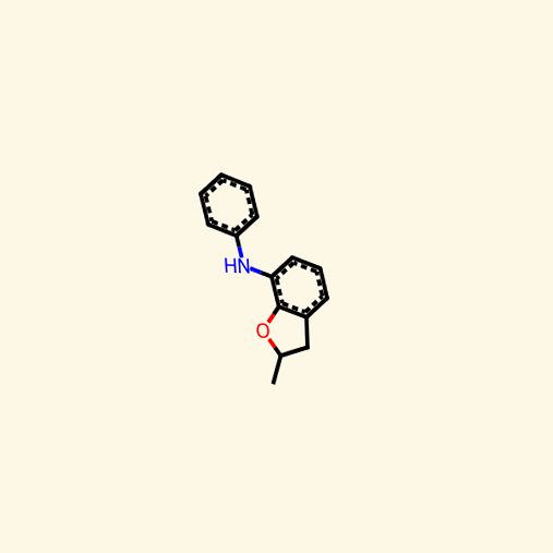 CC1Cc2cccc(Nc3ccccc3)c2O1